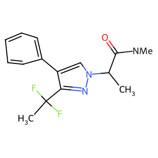 CNC(=O)C(C)n1cc(-c2ccccc2)c(C(C)(F)F)n1